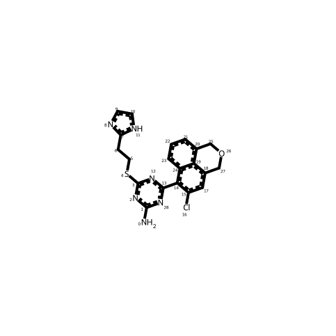 Nc1nc(SCCc2ncc[nH]2)nc(-c2c(Cl)cc3c4c(cccc24)COC3)n1